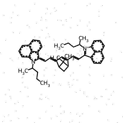 CCCC(C)n1/c(=C/C=C2C=C(/C=C/C3=[N+](C(C)CCC)c4cccc5cccc3c45)C3CC/2C3(C)C)c2cccc3cccc1c32